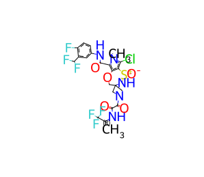 C[C@@H](NC(=O)C(=O)N1CC2(COc3c(c(Cl)n(C)c3C(=O)Nc3ccc(F)c(C(F)F)c3)[S+]([O-])N2)C1)C(F)(F)F